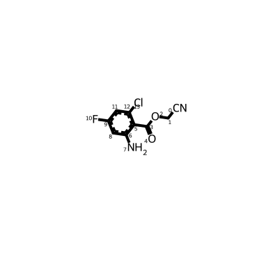 N#CCOC(=O)c1c(N)cc(F)cc1Cl